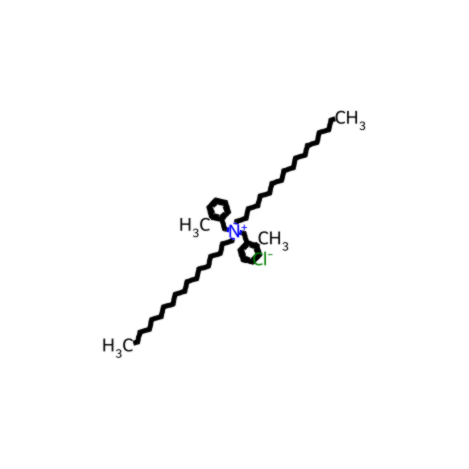 CCCCCCCCCCCCCCCCCC[N+](CCCCCCCCCCCCCCCCCC)(Cc1ccccc1C)Cc1ccccc1C.[Cl-]